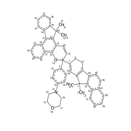 CC1(C)C2=C(CCC(C3(c4ccc(N5CCOCC5)cc4)C=Cc4c5c(c6ccccc6c4O3)-c3ccccc3C5(C)C)=C2)c2ccc3ccccc3c21